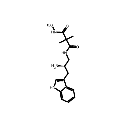 CC(C)(C)NC(=O)C(C)(C)C(=O)NC[C@H](N)Cc1c[nH]c2ccccc12